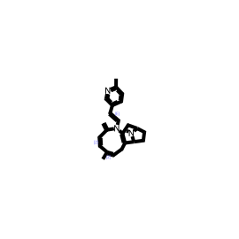 C=C1/C=C\C(C)=C/CC2=C(CC3CCC2N3C)N1/C=C/c1ccc(C)nc1